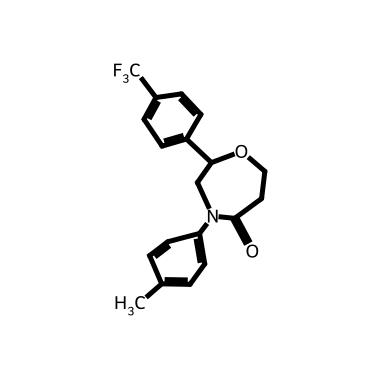 Cc1ccc(N2CC(c3ccc(C(F)(F)F)cc3)OCCC2=O)cc1